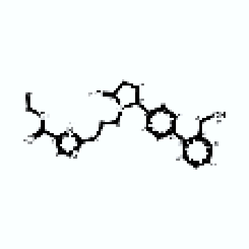 CCOC(=O)c1csc(SCCN2C(=O)CCC2c2ccc(-c3ccccc3CO)cc2)n1